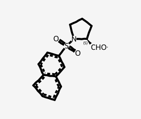 O=[C][C@@H]1CCCN1S(=O)(=O)c1ccc2ccccc2c1